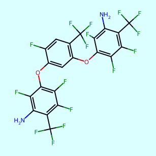 Nc1c(F)c(Oc2cc(Oc3c(F)c(N)c(C(F)(F)F)c(F)c3F)c(C(F)(F)F)cc2F)c(F)c(F)c1C(F)(F)F